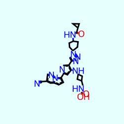 N#Cc1cnn2c(-c3cc(NC4CC(CNC(=O)O)C4)c(-c4cn(C5CCC(NC(=O)C6CC6)CC5)nn4)cn3)ccc2c1